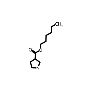 CCCCCCOC(=O)C1CC[N]C1